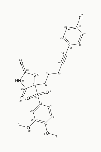 COc1ccc(S(=O)(=O)C2(CCCC#Cc3ccc(Cl)cc3)SC(=O)NC2=O)cc1OC